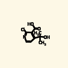 CC(C)(O)c1ccnc(Cl)c1C(=O)O